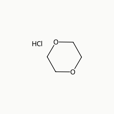 C1COCCO1.Cl